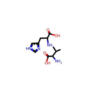 CC(C)C(N)C(=O)O.NC(Cc1c[nH]cn1)C(=O)O